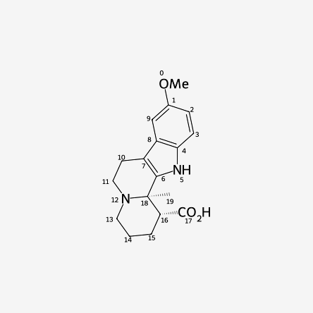 COc1ccc2[nH]c3c(c2c1)CCN1CCC[C@@H](C(=O)O)[C@]31C